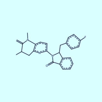 C=C1C(C)Cc2nc(N3C(=O)c4ccccc4C3Cc3ccc(F)cc3)ccc2N1C